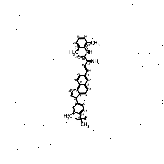 C=C1CC(C2C=Nc3c2ccc2cc(/C=C/C(=N)C(=S)Nc4c(C)cccc4C)ccc32)=CC=C1C(C)(F)F